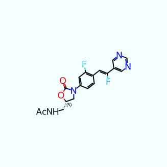 CC(=O)NC[C@H]1CN(c2ccc(C=C(F)c3cncnc3)c(F)c2)C(=O)O1